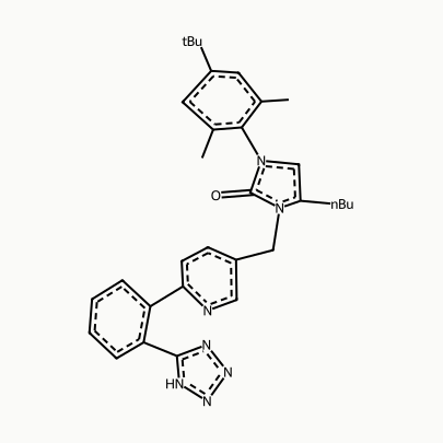 CCCCc1cn(-c2c(C)cc(C(C)(C)C)cc2C)c(=O)n1Cc1ccc(-c2ccccc2-c2nnn[nH]2)nc1